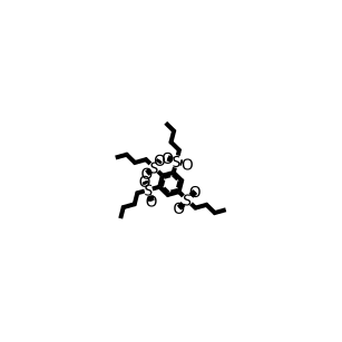 CCCCS(=O)(=O)c1cc(S(=O)(=O)CCCC)c(S(=O)(=O)CCCC)c(S(=O)(=O)CCCC)c1